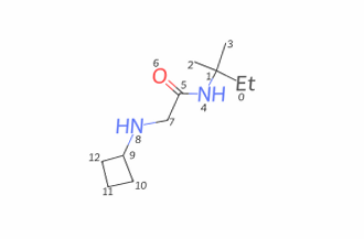 CCC(C)(C)NC(=O)CNC1CCC1